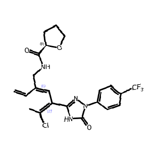 C=C/C(=C\C(=C(/C)Cl)c1nn(-c2ccc(C(F)(F)F)cc2)c(=O)[nH]1)CNC(=O)[C@H]1CCCO1